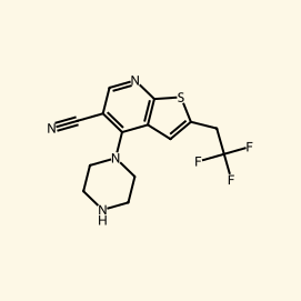 N#Cc1cnc2sc(CC(F)(F)F)cc2c1N1CCNCC1